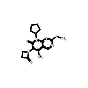 CSc1ncc2c(C)c(N3CCC3=O)c(=O)n(C3CCCC3)c2n1